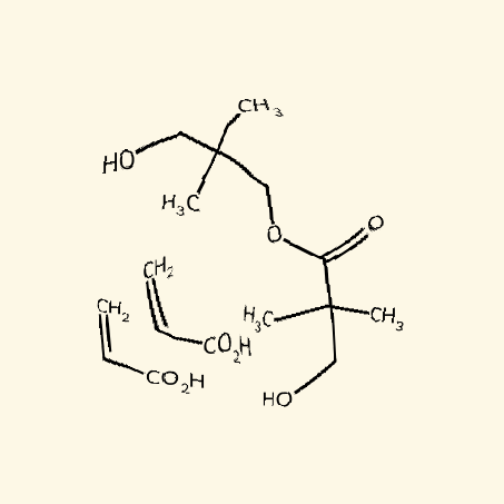 C=CC(=O)O.C=CC(=O)O.CC(C)(CO)COC(=O)C(C)(C)CO